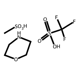 C1COCCN1.CS(=O)(=O)O.O=S(=O)(O)C(F)(F)F